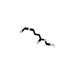 C=COC(=O)CCC=C=CCl